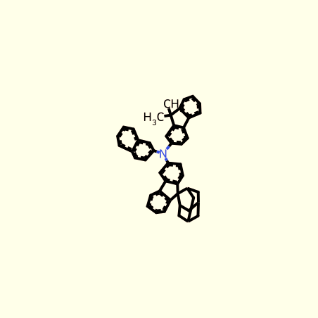 CC1(C)c2ccccc2-c2ccc(N(c3ccc4c(c3)-c3ccccc3C43C4CC5CC(C4)CC3C5)c3ccc4ccccc4c3)cc21